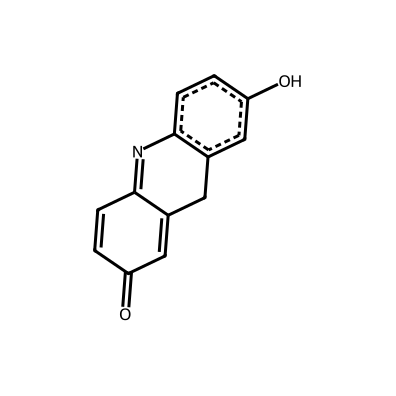 O=C1C=CC2=Nc3ccc(O)cc3CC2=C1